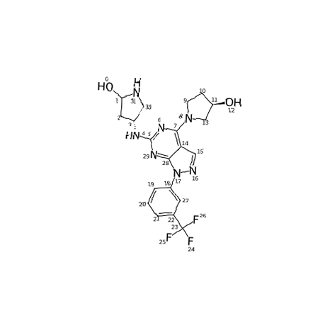 OC1C[C@@H](Nc2nc(N3CC[C@@H](O)C3)c3cnn(-c4cccc(C(F)(F)F)c4)c3n2)CN1